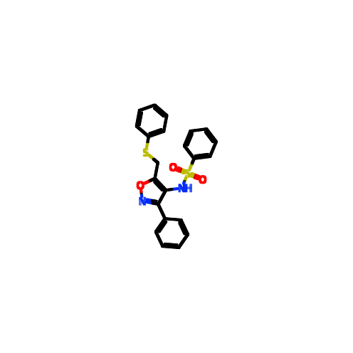 O=S(=O)(Nc1c(-c2ccccc2)noc1CSc1ccccc1)c1ccccc1